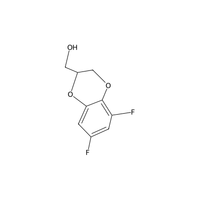 OCC1COc2c(F)cc(F)cc2O1